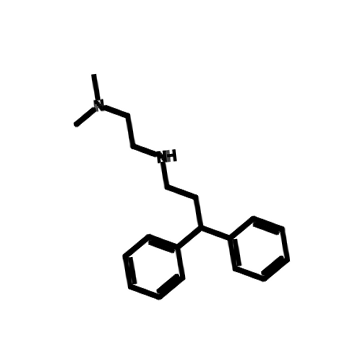 CN(C)CCNCCC(c1ccccc1)c1ccccc1